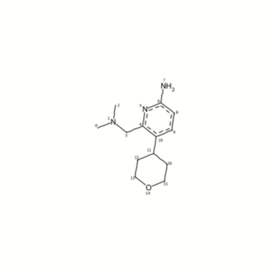 CN(C)Cc1nc(N)ccc1C1CCOCC1